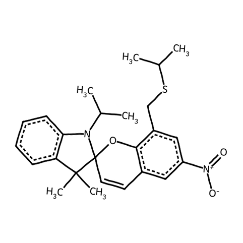 CC(C)SCc1cc([N+](=O)[O-])cc2c1OC1(C=C2)N(C(C)C)c2ccccc2C1(C)C